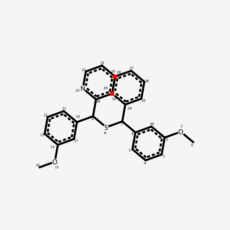 COc1cccc(C(SC(c2cccc(OC)c2)c2ccccn2)c2ccccn2)c1